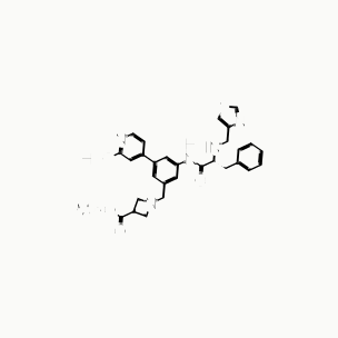 COC(=O)C1CN(Cc2cc(NC(=O)[C@H](Cc3ccccc3)NCc3cscn3)cc(-c3ccnc(C)c3)c2)C1